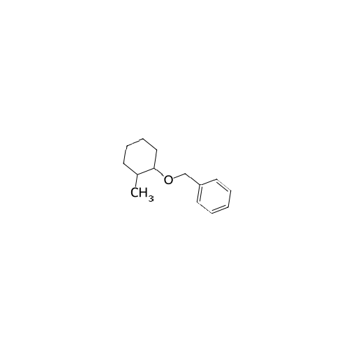 CC1CCCCC1OCc1ccccc1